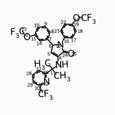 CC(C)(NC1=CC(c2cccc(OC(F)(F)F)c2)N(c2ccc(OC(F)(F)F)cc2)C1=O)c1cccc(C(F)(F)F)n1